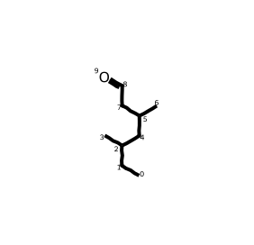 CCC(C)CC(C)CC=O